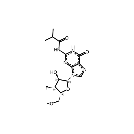 CC(C)C(=O)Nc1nc2c(ncn2[C@@H]2O[C@H](CO)[C@H](F)[C@H]2O)c(=O)[nH]1